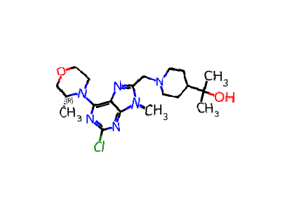 C[C@@H]1COCCN1c1nc(Cl)nc2c1nc(CN1CCC(C(C)(C)O)CC1)n2C